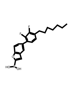 CCCCCCCc1ccc(-c2ccc3oc(B(O)O)cc3c2)c(F)c1F